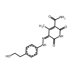 CC1=C(C(N)=O)C(=O)NC(=O)/C1=N\Nc1ccc(CCO)cc1